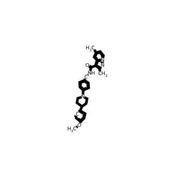 COc1ccc(C2CCN(c3ccc(CNC(=O)c4c(C)nn5ccc(C)cc45)cc3)CC2)cc1